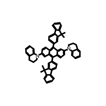 CC1(C)c2ccccc2-c2ccc(-c3c4ccc(N5CCCc6ccccc65)cc4c(-c4ccc5c(c4)C(C)(C)c4ccccc4-5)c4ccc(N5CCCc6ccccc65)cc34)cc21